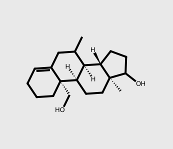 CC1CC2=CCCC[C@]2(CO)[C@@H]2CC[C@]3(C)C(O)CC[C@H]3[C@H]12